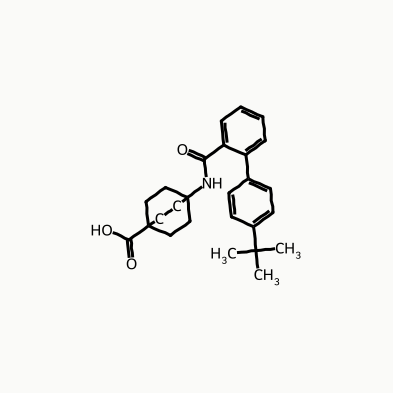 CC(C)(C)c1ccc(-c2ccccc2C(=O)NC23CCC(C(=O)O)(CC2)CC3)cc1